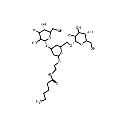 NCCCCC(=O)NCCOC1CC(O[C@H]2OC(CO)[C@@H](O)C(O)C2O)CC(CO[C@H]2OC(CO)[C@@H](O)C(O)C2O)O1